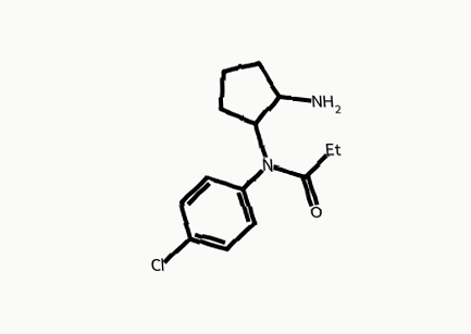 CCC(=O)N(c1ccc(Cl)cc1)C1CCCC1N